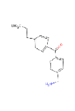 CCOC(=O)CCc1ccc(C(=O)c2ccc(CN)cc2)cc1